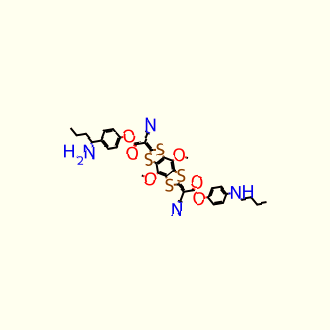 CCCCNc1ccc(OC(=O)C(C#N)=C2Sc3c(OC)c4c(c(OC)c3S2)SC(=C(C#N)C(=O)Oc2ccc(C(N)CCC)cc2)S4)cc1